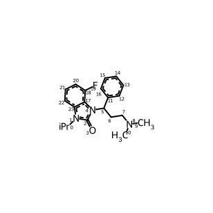 CC(C)n1c(=O)n(C(CCN(C)C)c2ccccc2)c2c(F)cccc21